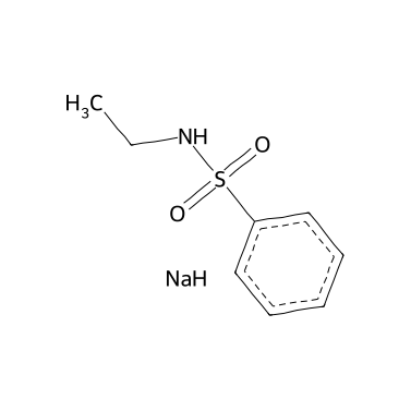 CCNS(=O)(=O)c1ccccc1.[NaH]